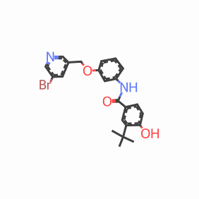 CC(C)(C)c1cc(C(=O)Nc2cccc(OCc3cncc(Br)c3)c2)ccc1O